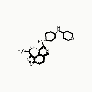 CC(C)c1noc2ccc3cnc(N[C@H]4CC[C@H](NC5CCOCC5)CC4)nc3c12